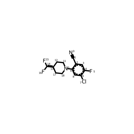 N#Cc1cc(F)c(Cl)cc1N1CCC(=C(F)F)CC1